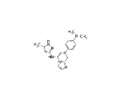 Cc1cc(NC2=CN(c3ccc(N(C)C)cc3)CC3=NC=C[N+]23)n[nH]1